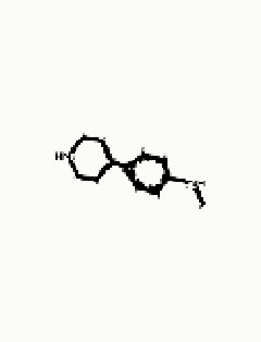 CNc1ccc(C2CCNCC2)cc1